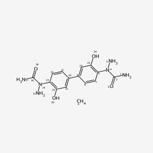 C.NC(=O)N(N)c1ccc(-c2ccc(N(N)C(N)=O)c(O)c2)cc1O